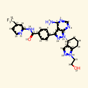 Nc1ncnc2c1c(-c1ccc(C(=O)Nc3cc(C(F)(F)F)ccn3)cc1)nn2[C@@H]1CCCc2c1cnn2CCO